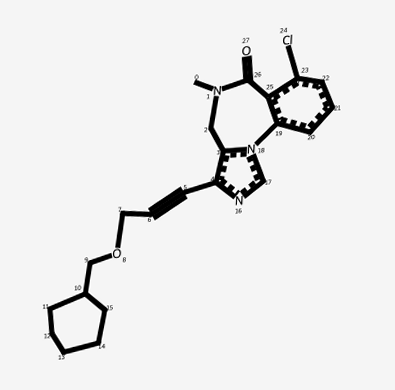 CN1Cc2c(C#CCOCC3CCCCC3)ncn2-c2cccc(Cl)c2C1=O